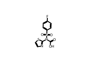 O=C(O)N(c1nccs1)S(=O)(=O)c1ccc(F)cc1